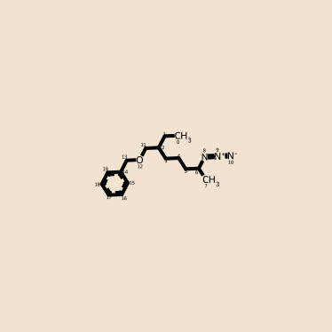 CCC(CCCC(C)N=[N+]=[N-])COCc1ccccc1